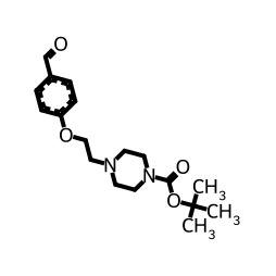 CC(C)(C)OC(=O)N1CCN(CCOc2ccc(C=O)cc2)CC1